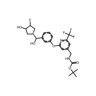 CC(C)(C)OC(=O)NCc1cc(Oc2cccc(C(O)N3CC(O)C(F)C3)c2)nc(C(F)(F)F)c1